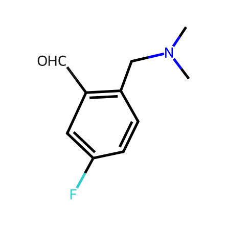 CN(C)Cc1ccc(F)cc1C=O